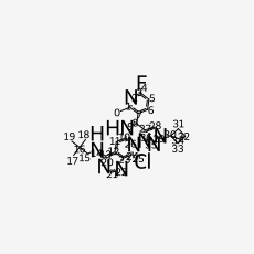 Cc1nc(F)ccc1[C@H](Nc1cc2c(NCC(C)(C)C)ncnc2c(Cl)n1)c1cn(C23CC(C2)C3)nn1